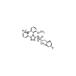 COc1cccc(OC)c1-n1c(NS(=O)(=O)[C@@H](C)Cc2ncc(F)cn2)nnc1-c1ccccn1